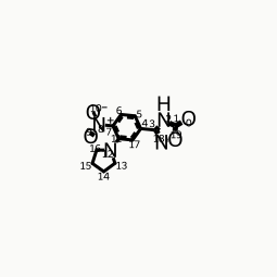 O=c1[nH]c(-c2ccc([N+](=O)[O-])c(N3CCCC3)c2)no1